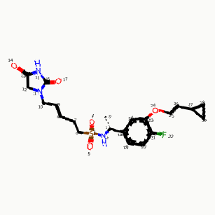 C[C@@H](NS(=O)(=O)CCCCCN1CC(=O)NC1=O)c1ccc(F)c(OCCC2CC2)c1